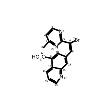 Cc1ccnc(/C(Br)=C\c2cc(C(=O)O)c3cccnc3c2)n1